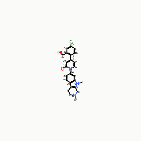 CN1CCc2c(n(C)c3cc(-n4ccc(-c5ccc(Cl)cc5C=O)cc4=O)ccc23)C1